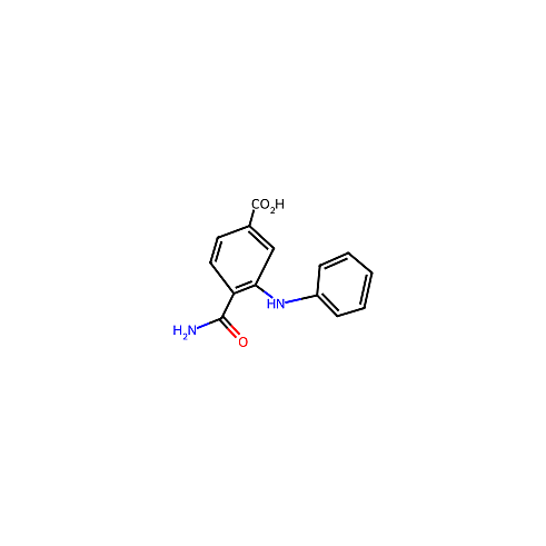 NC(=O)c1ccc(C(=O)O)cc1Nc1ccccc1